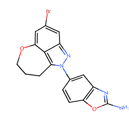 Nc1nc2cc(-n3nc4cc(Br)cc5c4c3CCCO5)ccc2o1